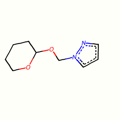 c1cnn(COC2CCCCO2)c1